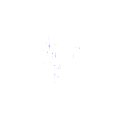 CCCN1NC(=O)[C@@]2(CCCCC1=O)SC[C@@H]1NC(=O)N[C@@H]12.O=C(O)C(F)(F)F